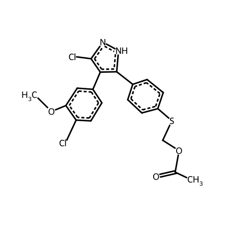 COc1cc(-c2c(Cl)n[nH]c2-c2ccc(SCOC(C)=O)cc2)ccc1Cl